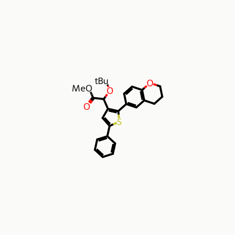 COC(=O)C(OC(C)(C)C)c1cc(-c2ccccc2)sc1-c1ccc2c(c1)CCCO2